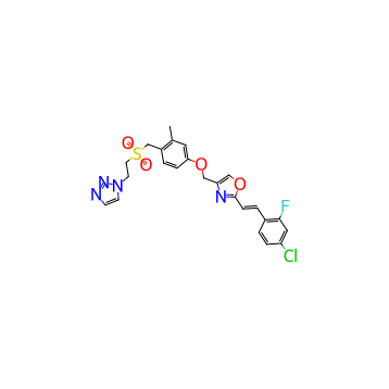 Cc1cc(OCc2coc(/C=C/c3ccc(Cl)cc3F)n2)ccc1CS(=O)(=O)CCn1ccnn1